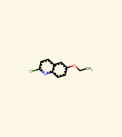 CCOc1ccc2nc(Cl)ccc2c1